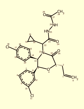 C=CC[C@@H]1O[C@@H](c2cccc(Cl)c2)[C@@H](c2ccc(Cl)cc2)N(C(C(=O)NNC(C)=O)C2CC2)C1=O